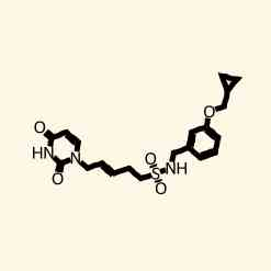 O=c1ccn(CC=CCCS(=O)(=O)NCc2cccc(OCC3CC3)c2)c(=O)[nH]1